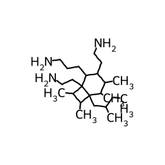 CCC(C)CC12C(C)C(C)C(CCN)C(CCCN)C1(CCN)C(C)C2C